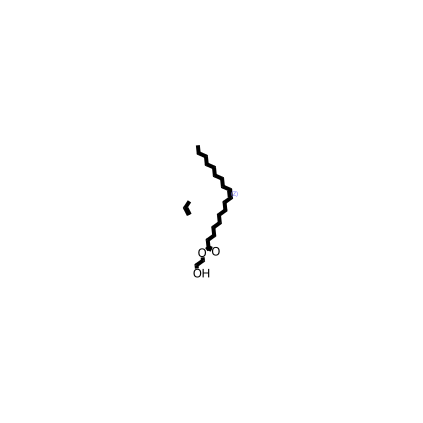 C=CC.CCCCCCCC/C=C\CCCCCCCC(=O)OCCO